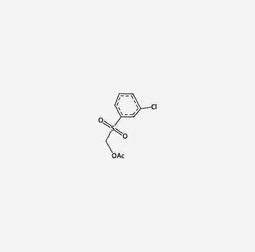 CC(=O)OCS(=O)(=O)c1cccc(Cl)c1